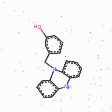 Oc1cccc(CN2c3ccccc3Nc3ccccc32)c1